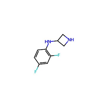 Fc1ccc(NC2CNC2)c(F)c1